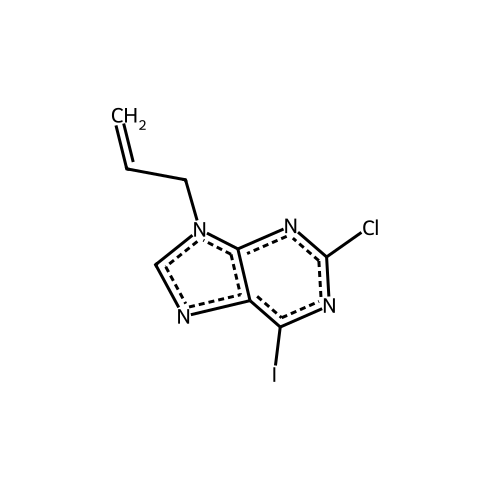 C=CCn1cnc2c(I)nc(Cl)nc21